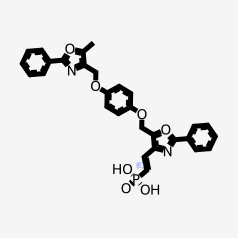 Cc1oc(-c2ccccc2)nc1COc1ccc(OCc2oc(-c3ccccc3)nc2/C=C/P(=O)(O)O)cc1